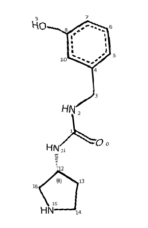 O=C(NCc1cccc(O)c1)N[C@@H]1CCNC1